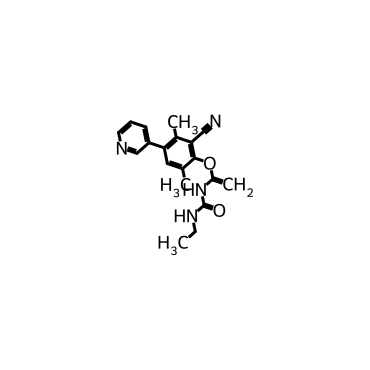 C=C(NC(=O)NCC)Oc1c(C)cc(-c2cccnc2)c(C)c1C#N